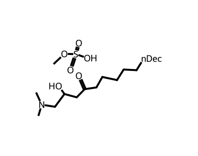 CCCCCCCCCCCCCCCC(=O)CC(O)CN(C)C.COS(=O)(=O)O